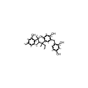 CCC1(C)c2cc(Cc3ccc(O)cc3O)c(O)cc2OC(C)(c2ccc(C)cc2O)C1C